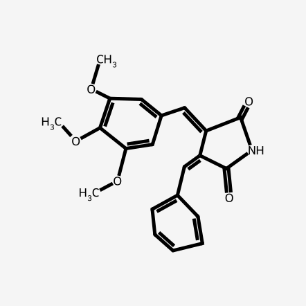 COc1cc(C=C2C(=O)NC(=O)C2=Cc2ccccc2)cc(OC)c1OC